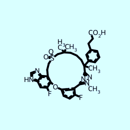 Cn1nc2nc1-c1cc(ccc1F)Oc1c(F)cc3[nH]cnc3c1CCS(=O)(=O)CC(C)(C)CCCC2(C)c1cccc(CCC(=O)O)c1